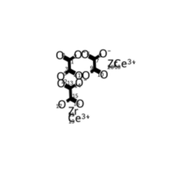 O=C([O-])C(=O)[O-].O=C([O-])C(=O)[O-].O=C([O-])C(=O)[O-].[Ce+3].[Ce+3].[Zr].[Zr]